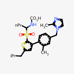 CCCC(NC(=O)O)S(=O)(=O)c1sc(CC(C)C)cc1-c1ccc(Cn2ccnc2C)cc1C